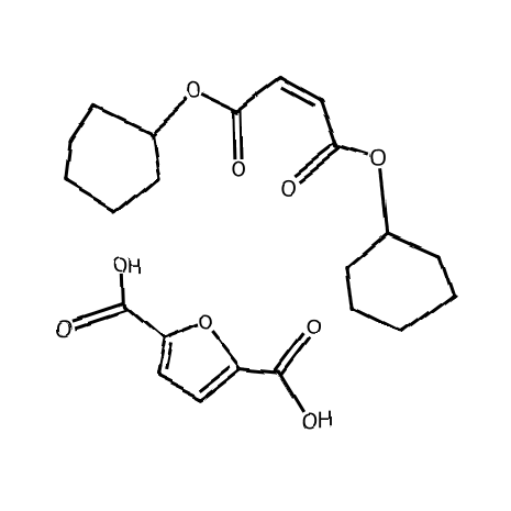 O=C(/C=C\C(=O)OC1CCCCC1)OC1CCCCC1.O=C(O)c1ccc(C(=O)O)o1